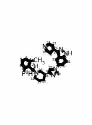 [2H]C([2H])(c1c(C)cccc1F)N1CCC[C@@H](c2cn(-c3ccc4[nH]nc(-c5ccncc5)c4c3)nn2)C1